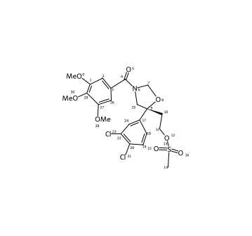 COc1cc(C(=O)N2CO[C@](CCOS(C)(=O)=O)(c3ccc(Cl)c(Cl)c3)C2)cc(OC)c1OC